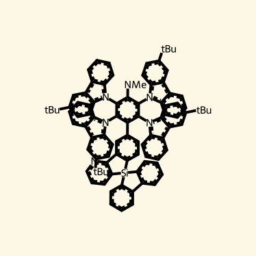 CNc1c(-n2c3ccccc3c3cc(C(C)(C)C)ccc32)c(-n2c3ccccc3c3cc(C(C)(C)C)ccc32)c(-c2ccc3c(c2)-c2ncccc2[Si]32c3ccccc3-c3ccccc32)c(-n2c3ccccc3c3cc(C(C)(C)C)ccc32)c1-n1c2ccccc2c2cc(C(C)(C)C)ccc21